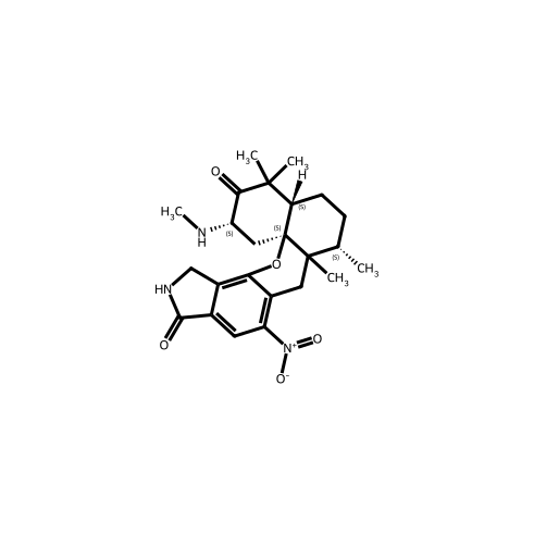 CN[C@H]1C[C@@]23Oc4c5c(cc([N+](=O)[O-])c4CC2(C)[C@@H](C)CC[C@H]3C(C)(C)C1=O)C(=O)NC5